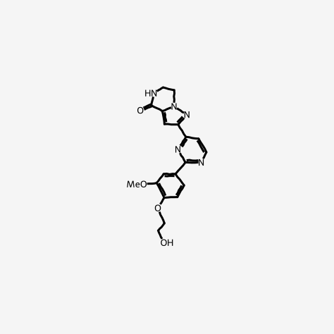 COc1cc(-c2nccc(-c3cc4n(n3)CCNC4=O)n2)ccc1OCCO